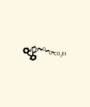 CCOC(=O)COCCOCCN1CCN2c3ccccc3Cc3ccccc3C2C1